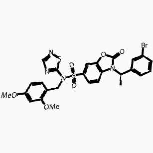 COc1ccc(CN(c2ncns2)S(=O)(=O)c2ccc3c(c2)oc(=O)n3[C@H](C)c2cccc(Br)c2)c(OC)c1